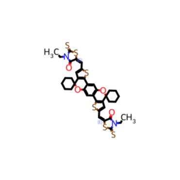 CCN1C(=O)/C(=C\c2cc3c(s2)-c2cc4c(cc2OC32CCCCC2)-c2sc(/C=C3/SC(=S)N(CC)C3=O)cc2C2(CCCCC2)O4)SC1=S